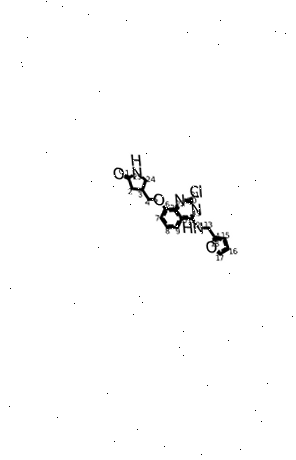 O=C1CC(COc2cccc3c(NCc4ccco4)nc(Cl)nc23)CN1